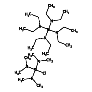 CCN(CC)[Si](N(CC)CC)(N(CC)CC)N(CC)CC.CN(C)[Si](Cl)(N(C)C)N(C)C